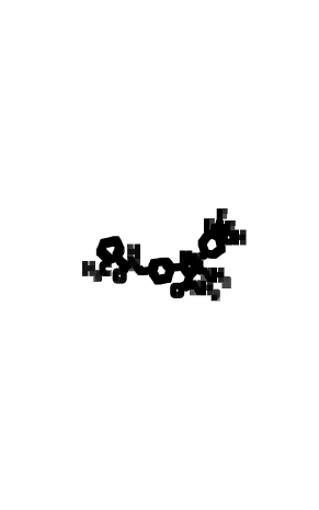 Cc1ccccc1C(=O)NCc1ccc(-c2nn(C3CCC(O)(C(F)(F)F)CC3)c(N)c2C(N)=O)cc1